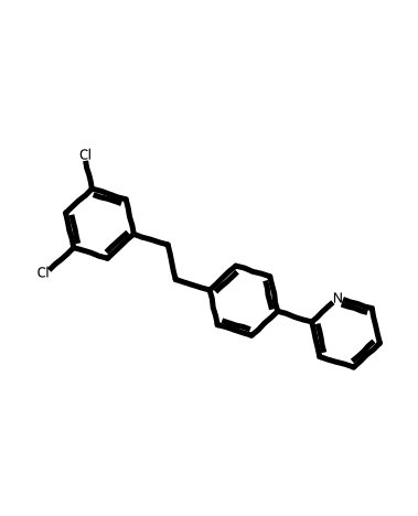 Clc1cc(Cl)cc(CCc2ccc(-c3ccccn3)cc2)c1